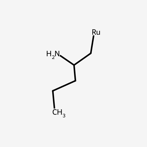 CCCC(N)[CH2][Ru]